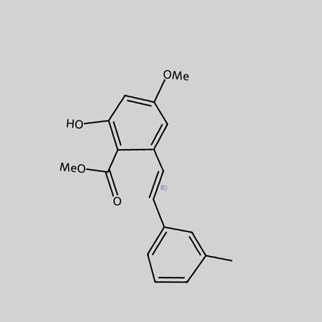 COC(=O)c1c(O)cc(OC)cc1/C=C/c1cccc(C)c1